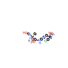 Cc1c(CNS(C)(=O)=O)c(-c2cccc(N3CCN(c4ccc(NCCc5ccc(N[C@@H](CCN6CCC(O)CC6)CSc6ccccc6)c(S(=O)(=O)C(F)(F)F)c5)cc4)CC3)c2)c(-c2ccc(Cl)cc2)n1C